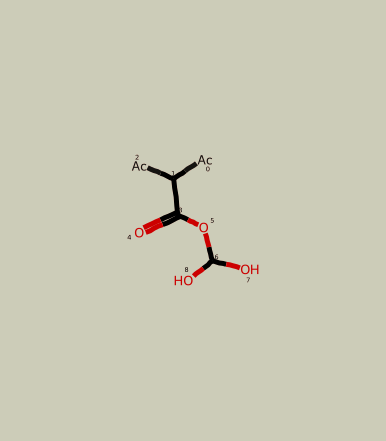 CC(=O)C(C(C)=O)C(=O)OC(O)O